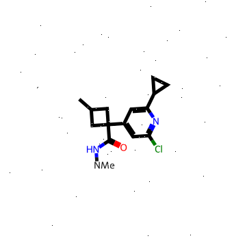 CNNC(=O)C1(c2cc(Cl)nc(C3CC3)c2)CC(C)C1